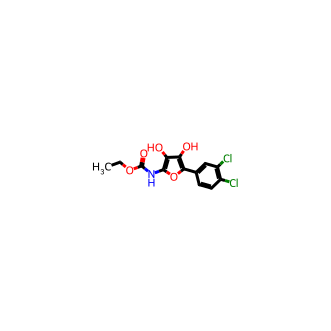 CCOC(=O)Nc1oc(-c2ccc(Cl)c(Cl)c2)c(O)c1O